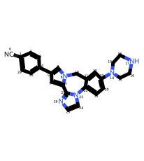 N#Cc1ccc(-c2cc3n(c2)Cc2cc(N4CCNCC4)ccc2-n2ccnc2-3)cc1